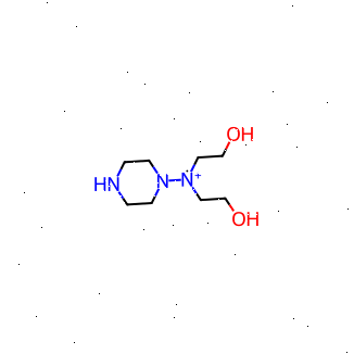 OCC[N+](CCO)N1CCNCC1